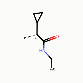 CC(=O)CNC(=O)[C@H](C)C1CC1